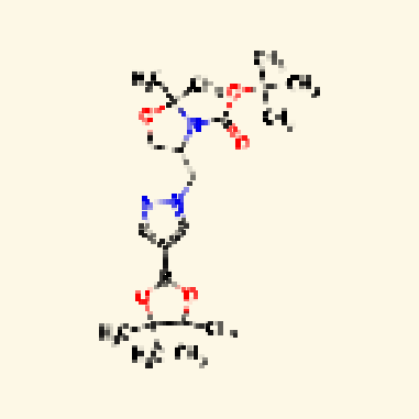 CC(C)(C)OC(=O)N1[C@H](Cn2cc(B3OC(C)(C)C(C)(C)O3)cn2)COC1(C)C